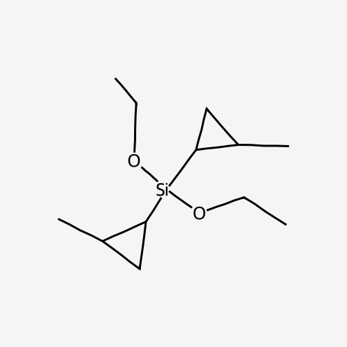 CCO[Si](OCC)(C1CC1C)C1CC1C